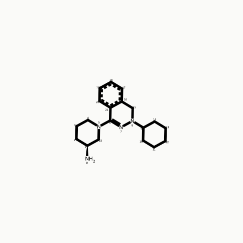 N[C@H]1CCCN(C2=NN(C3CCCCC3)Cc3ccccc32)C1